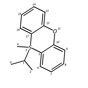 CC(C)S1(C)c2ccccc2Oc2ccccc21